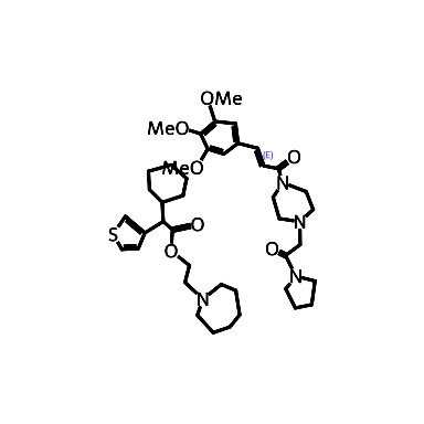 COc1cc(/C=C/C(=O)N2CCN(CC(=O)N3CCCC3)CC2)cc(OC)c1OC.O=C(OCCN1CCCCCC1)C(c1ccsc1)C1CCCCC1